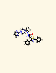 CC(CNC(=O)Cc1sc(-c2ccccc2)nc1-c1ccccc1)N1CCN(c2ncccn2)CC1